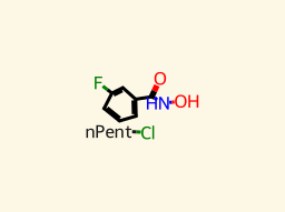 CCCCCCl.O=C(NO)c1cccc(F)c1